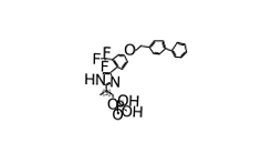 C[C@H](COP(=O)(O)O)c1nc(-c2ccc(OCCc3ccc(-c4ccccc4)cc3)cc2C(F)(F)F)c[nH]1